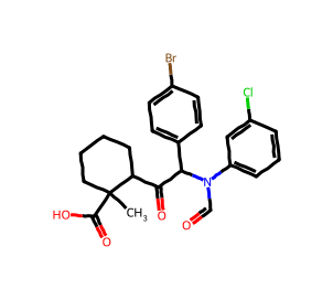 CC1(C(=O)O)CCCCC1C(=O)C(c1ccc(Br)cc1)N(C=O)c1cccc(Cl)c1